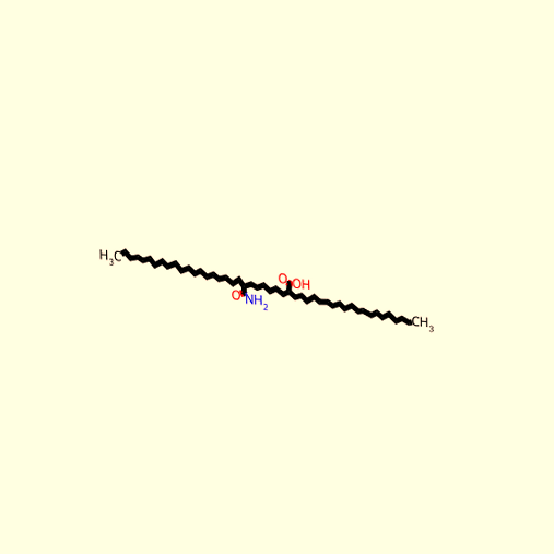 CCCCCCCCCCCCCCCCCCCCC(CCCCCCC(CCCCCCCCCCCCCCCCCCCC)C(=O)O)C(N)=O